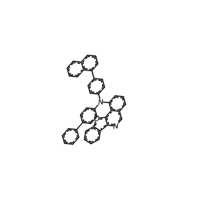 c1ccc(-c2ccc(N(c3ccc(-c4cccc5ccccc45)cc3)c3cccc4cnc5c6ccccc6oc5c34)cc2)cc1